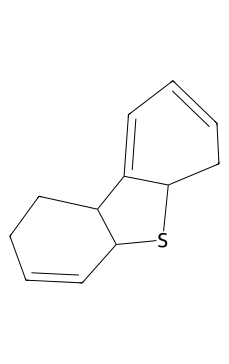 C1=CCC2SC3C=CCCC3C2=C1